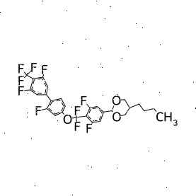 CCCCC1COC(c2cc(F)c(C(F)(F)Oc3ccc(-c4cc(F)c(C(F)(F)F)c(F)c4)c(F)c3)c(F)c2)OC1